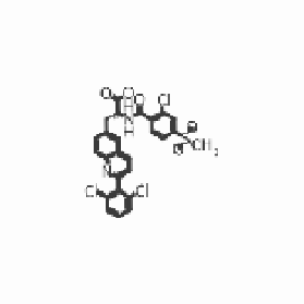 CS(=O)(=O)c1ccc(C(=O)N[C@@H](Cc2ccc3nc(-c4c(Cl)cccc4Cl)ccc3c2)C(=O)O)c(Cl)c1